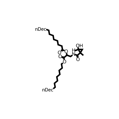 CCCCCCCCCCCCCCCCCCOC(=O)C(CNC(=O)C1(C)CC1(C)O)OC(=O)CCCCCCCCCCCCCCCCC